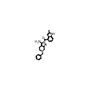 Cc1cc2c(C(=O)n3nc4c(c3N)CCN(Cc3ccccc3)C4)cccc2[nH]1